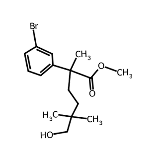 COC(=O)C(C)(CCC(C)(C)CO)c1cccc(Br)c1